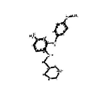 COc1ccc(Oc2nc(C)ccc2OCC2CCCNC2)cc1